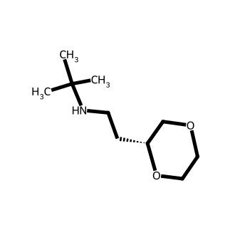 CC(C)(C)NCC[C@@H]1COCCO1